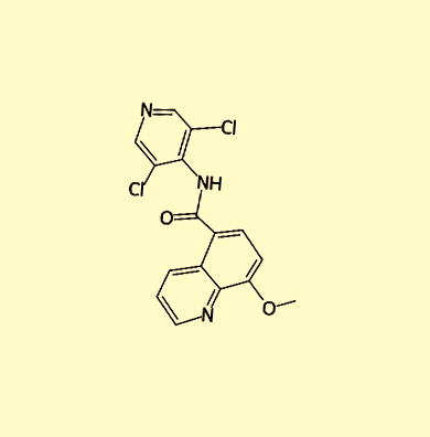 COc1ccc(C(=O)Nc2c(Cl)cncc2Cl)c2cccnc12